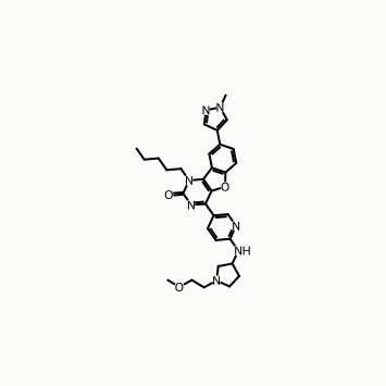 CCCCCn1c(=O)nc(-c2ccc(NC3CCN(CCOC)C3)nc2)c2oc3ccc(-c4cnn(C)c4)cc3c21